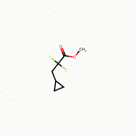 COC(=O)C(F)(F)CC1CC1